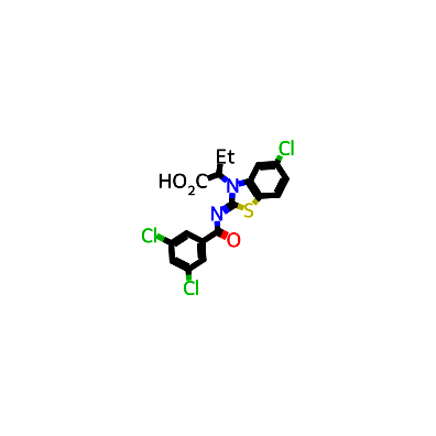 CCC(C(=O)O)n1c(=NC(=O)c2cc(Cl)cc(Cl)c2)sc2ccc(Cl)cc21